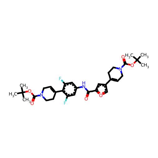 CC(C)(C)OC(=O)N1CC=C(c2coc(C(=O)Nc3cc(F)c(C4=CCN(C(=O)OC(C)(C)C)CC4)c(F)c3)c2)CC1